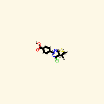 COC(=O)c1ccc(-c2nc(Cl)c3c(C)c(C)sc3n2)cc1